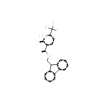 O=C(NCC1c2ccccc2-c2ccccc21)c1ccc(C(F)(F)F)[nH]c1=O